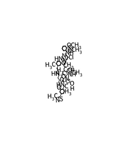 COc1cc(CCNCCCCCOc2cc(-c3scnc3C)ccc2[C@H](C)NC(=O)[C@@H]2C[C@@H](O)CN2C(=O)[C@@H](NC(C)=O)C(C)(C)C)c(C)cc1Nc1ncc(Cl)c(Nc2ccccc2S(=O)(=O)C(C)C)n1